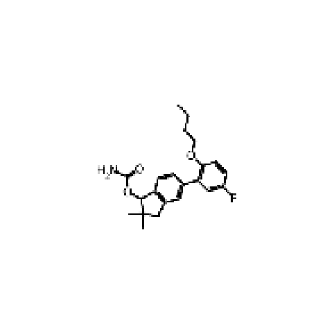 CCCCOc1ccc(F)cc1-c1ccc2c(c1)CC(C)(C)C2OC(N)=O